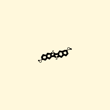 COc1ccc2cc3sc4c5cc6cc(OC)ccc6cc5sc4c3cc2c1